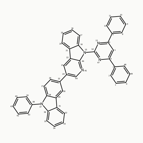 c1ccc(-c2cc(-c3ccccc3)nc(-n3c4ccccc4c4cc(-c5ccc6c(c5)c5ccccc5n6-c5ccccc5)cnc43)n2)cc1